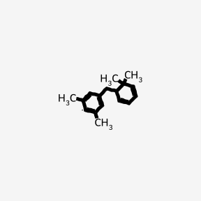 Cc1[c]c(C)cc(CC2C=CC=CC2(C)C)c1